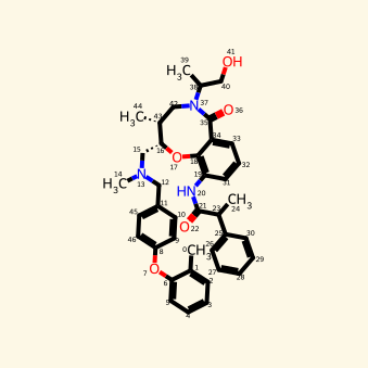 Cc1ccccc1Oc1ccc(CN(C)C[C@H]2Oc3c(NC(=O)C(C)c4ccccc4)cccc3C(=O)N(C(C)CO)C[C@H]2C)cc1